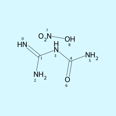 N=C(N)NC(N)=O.O=[N+]([O-])O